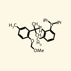 COCOc1ccc(C)cc1C(C)(C)Pc1c(C)cccc1N(C(C)C)C(C)C